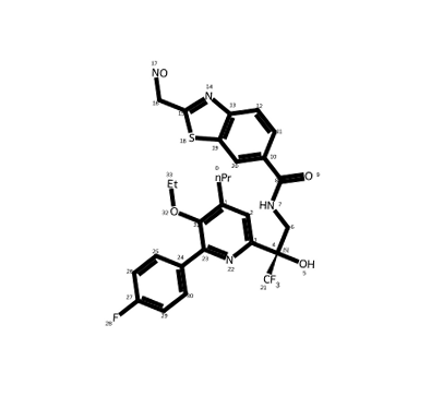 CCCc1cc([C@@](O)(CNC(=O)c2ccc3nc(CN=O)sc3c2)C(F)(F)F)nc(-c2ccc(F)cc2)c1OCC